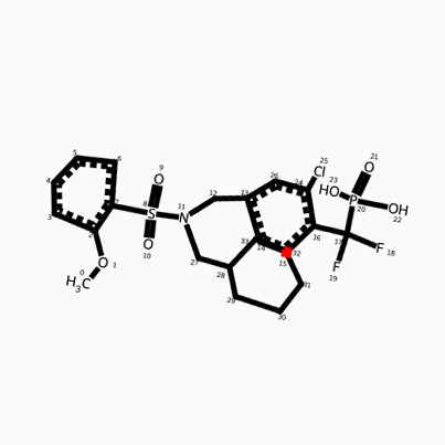 COc1ccccc1S(=O)(=O)N(Cc1ccc(C(F)(F)P(=O)(O)O)c(Cl)c1)CC1CCCCC1